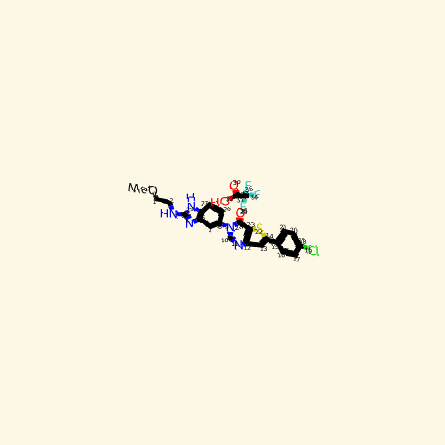 COCCNc1nc2cc(-n3cnc4cc(-c5ccc(Cl)cc5)sc4c3=O)ccc2[nH]1.O=C(O)C(F)(F)F